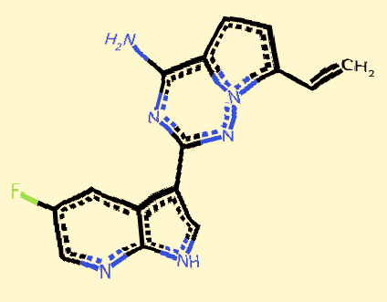 C=Cc1ccc2c(N)nc(-c3c[nH]c4ncc(F)cc34)nn12